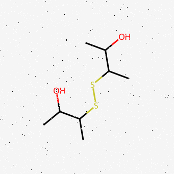 CC(O)C(C)SSC(C)C(C)O